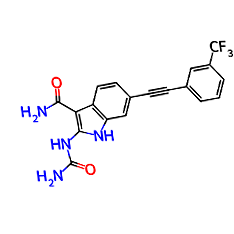 NC(=O)Nc1[nH]c2cc(C#Cc3cccc(C(F)(F)F)c3)ccc2c1C(N)=O